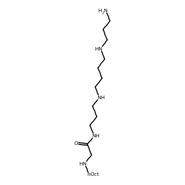 CCCCCCCCNCC(=O)NCCCNCCCCNCCCN